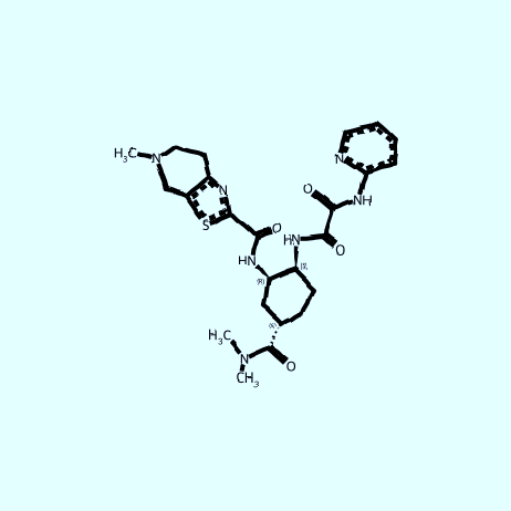 CN1CCc2nc(C(=O)N[C@@H]3C[C@@H](C(=O)N(C)C)CC[C@@H]3NC(=O)C(=O)Nc3ccccn3)sc2C1